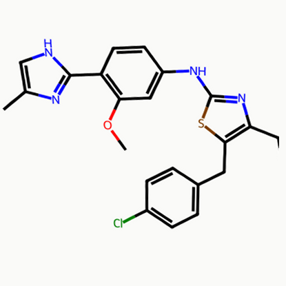 CCc1nc(Nc2ccc(-c3nc(C)c[nH]3)c(OC)c2)sc1Cc1ccc(Cl)cc1